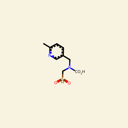 Cc1ccc(CN(C[SH](=O)=O)C(=O)O)cn1